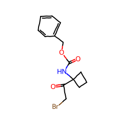 O=C(NC1(C(=O)CBr)CCC1)OCc1ccccc1